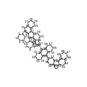 c1ccc2c(c1)-c1ccccc1C21c2ccc3ccccc3c2-c2ccc3cc(-c4c5ccccc5c(-c5ccc6oc7ccc8ccccc8c7c6c5)c5ccccc45)ccc3c21